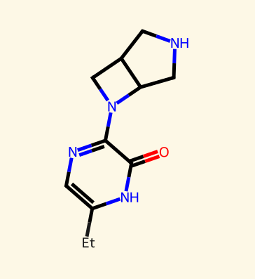 CCc1cnc(N2CC3CNCC32)c(=O)[nH]1